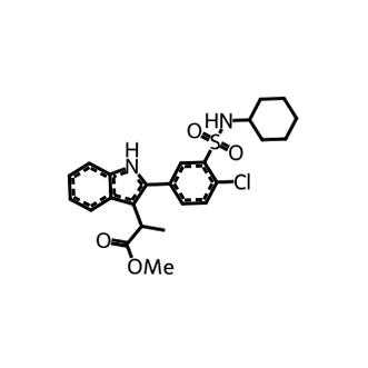 COC(=O)C(C)c1c(-c2ccc(Cl)c(S(=O)(=O)NC3CCCCC3)c2)[nH]c2ccccc12